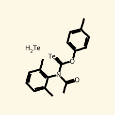 CC(=O)N(C(=[Te])Oc1ccc(C)cc1)c1c(C)cccc1C.[TeH2]